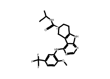 COc1ccc(C(F)(F)F)cc1Nc1ncnc2[nH]c3c(c12)C[C@@H](C(=O)NC(C)C)CC3